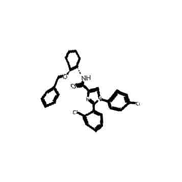 O=C(N[C@H]1CCCC[C@@H]1OCc1ccccc1)c1cn(-c2ccc(Cl)cc2)c(-c2ccccc2Cl)n1